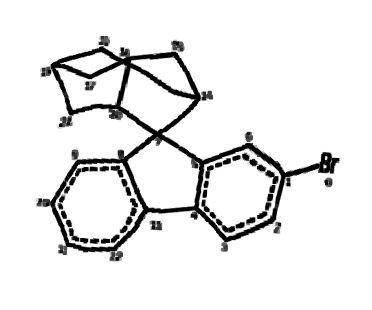 Brc1ccc2c(c1)C1(c3ccccc3-2)C2CC3CC(C2)C1C3